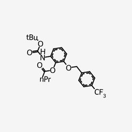 CCCC(=O)Oc1c(NC(=O)OC(C)(C)C)cccc1OCc1ccc(C(F)(F)F)cc1